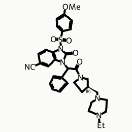 CCN1CCN(C[C@H]2CCN(C(=O)C(c3ccccc3)n3c(=O)n(S(=O)(=O)c4ccc(OC)cc4)c4ccc(C#N)cc43)C2)CC1